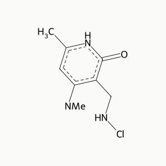 CNc1cc(C)[nH]c(=O)c1CNCl